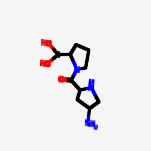 NC1CNC(C(=O)N2CCCC2B(O)O)C1